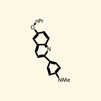 CCCOc1ccc2nc(-c3ccc(NC)cc3)ccc2c1